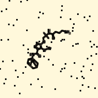 CC(C)Sc1c(OCC(C)(C)NC(=O)CCCN)noc1C(=O)NC1C2CC3CC(C2)CC1C3